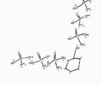 NP(=O)(O)O.NP(=O)(O)O.NP(=O)(O)O.NP(=O)(O)O.NP(=O)(O)O.NP(=O)(O)O.SC1CCCCC1